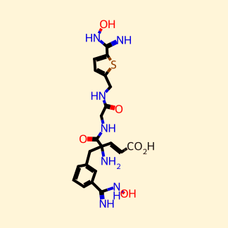 N=C(NO)c1cccc(CC(N)(C=CC(=O)O)C(=O)NCC(=O)NCc2ccc(C(=N)NO)s2)c1